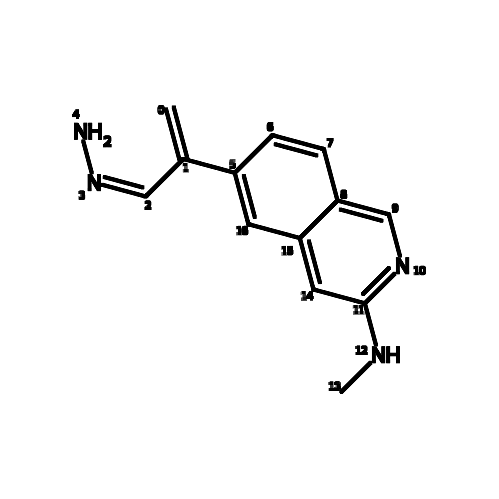 C=C(/C=N\N)c1ccc2cnc(NC)cc2c1